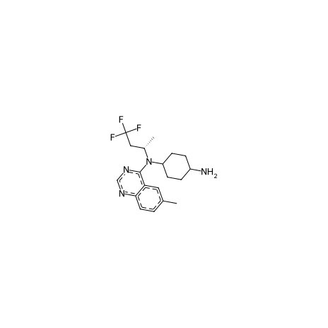 Cc1ccc2ncnc(N(C3CCC(N)CC3)[C@@H](C)CC(F)(F)F)c2c1